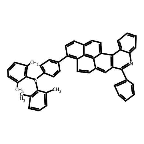 Cc1cccc(C)c1B(c1ccc(-c2ccc3ccc4c5c(cc6ccc2c3c64)c(-c2ccccc2)nc2ccccc25)cc1)c1c(C)cccc1C